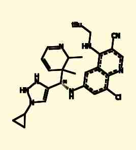 CC1N=CC=CC1(C)[C@H](Nc1cc(Cl)c2ncc(C#N)c(NCC(C)(C)C)c2c1)C1=CN(C2CC2)NN1